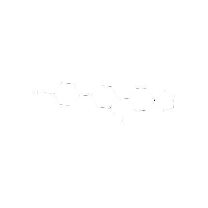 C=C1CC(C2CCC(O)CC2)CCC1C1CCC2(CC1)OCCO2